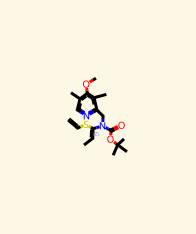 C=CS/C(=C\C)N(Cc1ncc(C)c(OC)c1C)C(=O)OC(C)(C)C